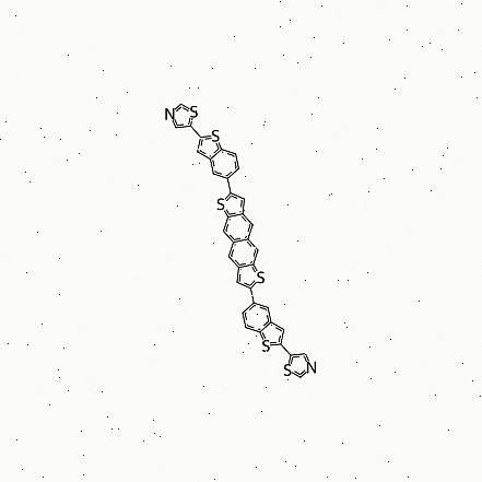 c1ncc(-c2cc3cc(-c4cc5cc6cc7sc(-c8ccc9sc(-c%10cncs%10)cc9c8)cc7cc6cc5s4)ccc3s2)s1